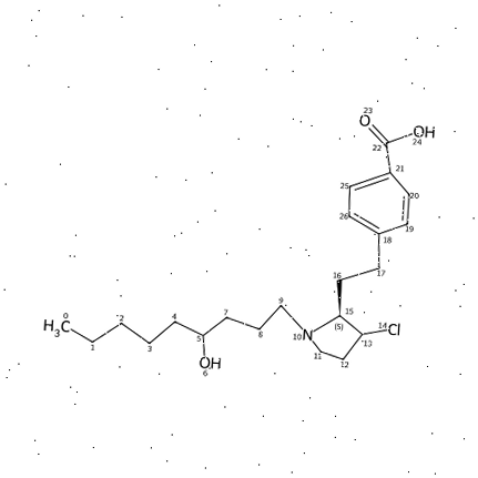 CCCCCC(O)CCCN1CCC(Cl)[C@@H]1CCc1ccc(C(=O)O)cc1